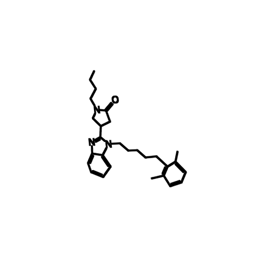 CCCCN1CC(c2nc3ccccc3n2CCCCCc2c(C)cccc2C)CC1=O